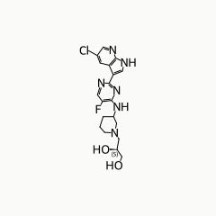 OC[C@@H](O)CN1CCCC(Nc2nc(-c3c[nH]c4ncc(Cl)cc34)ncc2F)C1